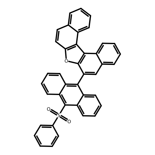 O=S(=O)(c1ccccc1)c1c2ccccc2c(-c2cc3ccccc3c3c2oc2ccc4ccccc4c23)c2ccccc12